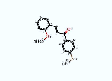 CCCCCCOc1ccccc1/C=C/C(=O)c1ccc(SCCC)cc1